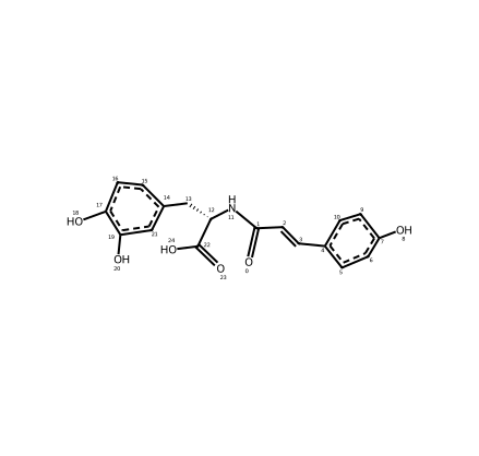 O=C(/C=C/c1ccc(O)cc1)N[C@@H](Cc1ccc(O)c(O)c1)C(=O)O